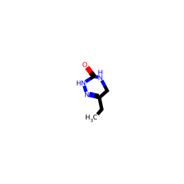 CCC1=NNC(=O)NC1